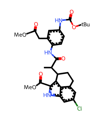 COC(=O)Cc1cc(NC(=O)OC(C)(C)C)ccc1NC(=O)C(C)C1CCc2cc(Cl)cc3[nH]c(C(=O)OC)c1c23